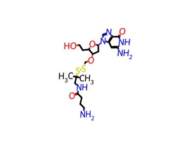 CC(C)(CNC(=O)CCCN)SSCO[C@@H]1C[C@H](n2cnc3c(=O)[nH]c(N)cc32)OC1CCO